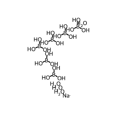 O.O.O.O.OB(O)O.OB(O)O.OB(O)O.OB(O)O.OB(O)O.OB(O)O.[Na]